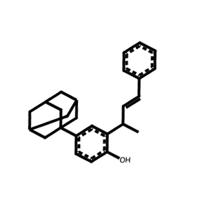 CC(C=Cc1ccccc1)c1cc(C23CC4CC(CC(C4)C2)C3)ccc1O